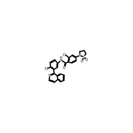 O=C(Nc1ccc(Cl)c(-c2nccc3ccccc23)c1)c1ccc(N2CCCS2(=O)=O)cc1Cl